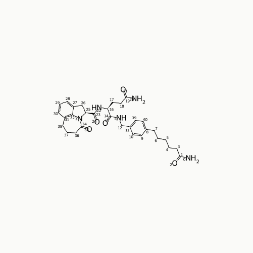 NC(=O)CCCCCc1ccc(CNC(=O)[C@H](CCC(N)=O)NC(=O)[C@@H]2Cc3cccc4c3N2C(=O)CCC4)cc1